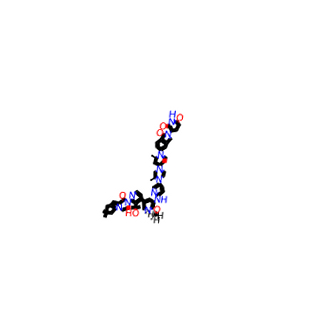 [2H]C([2H])([2H])Oc1ncc(-c2ccnc(N3CCn4c(cc5c4CC(C)(C)C5)C3=O)c2C(C)(C)O)cc1Nc1ccc(N2CCN(C3CCN(c4ccc5c(c4)CN([C@H]4CCC(=O)NC4=O)C5=O)[C@H](C)C3)C[C@@H]2C)cn1